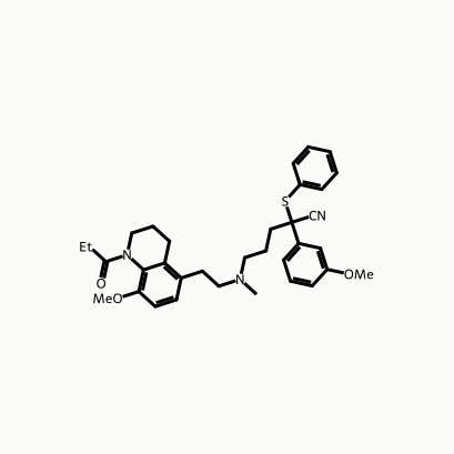 CCC(=O)N1CCCc2c(CCN(C)CCCC(C#N)(Sc3ccccc3)c3cccc(OC)c3)ccc(OC)c21